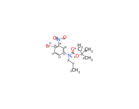 CCCN(C(=O)OC(C)(C)C)c1ccc(Br)c([N+](=O)[O-])c1